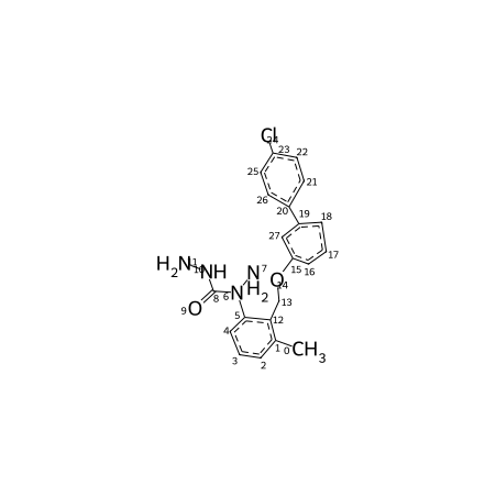 Cc1cccc(N(N)C(=O)NN)c1COc1cccc(-c2ccc(Cl)cc2)c1